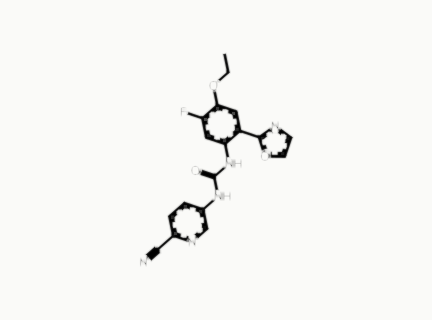 CCOc1cc(-c2ncco2)c(NC(=O)Nc2ccc(C#N)nc2)cc1F